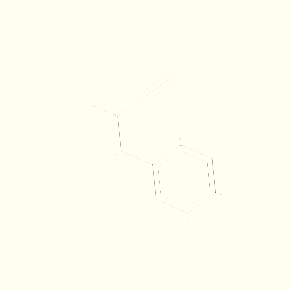 [C]#CC(C)Cc1ccccc1